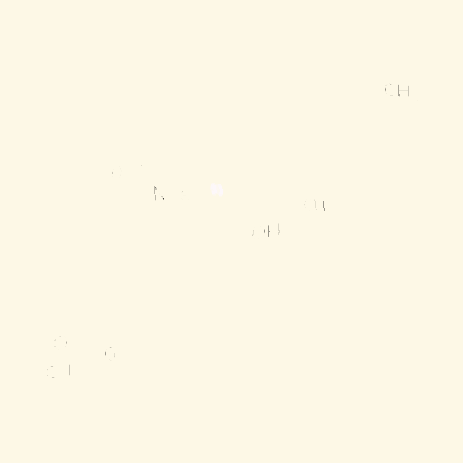 CCCC#CC[C@H](C)[C@H](O)/C=C/[C@H]1CCC(=O)N1CCc1ccc(C(=O)OC)cc1